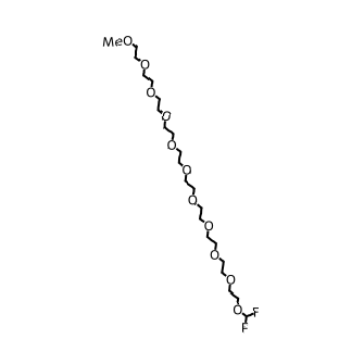 COCCOCCOCCOCCOCCOCCOCCOCCOCCOCCOC(F)F